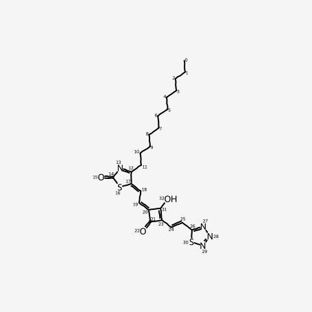 CCCCCCCCCCCCC1=NC(=O)S/C1=C\C=C1\C(=O)C(/C=C/c2nnns2)=C1O